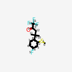 CSc1cc(F)ccc1C(C)(C)CC(=O)C(F)(F)F